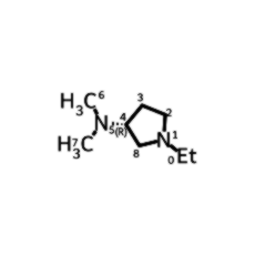 CCN1CC[C@@H](N(C)C)C1